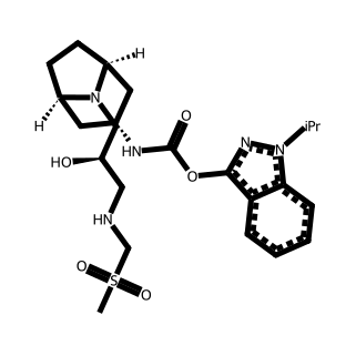 CC(C)n1nc(OC(=O)N[C@@H]2C[C@H]3CC[C@@H](C2)N3C[C@H](O)CNCS(C)(=O)=O)c2ccccc21